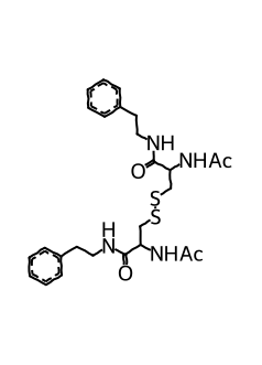 CC(=O)NC(CSSCC(NC(C)=O)C(=O)NCCc1ccccc1)C(=O)NCCc1ccccc1